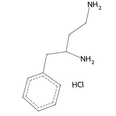 Cl.NCCC(N)Cc1ccccc1